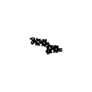 COC(=O)N1CCN(c2ccc(SC(CCc3ccc(Cl)cc3)Cn3ccnc3)cc2)CC1